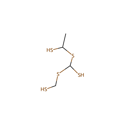 CC(S)SC(S)SCS